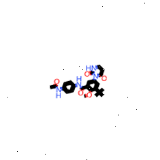 COc1c(C(=O)Nc2ccc(NC(C)=O)cc2)cc(N2C(=O)CCNC2=O)cc1C(C)(C)C